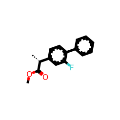 COC(=O)[C@H](C)c1ccc(-c2ccccc2)c(F)c1